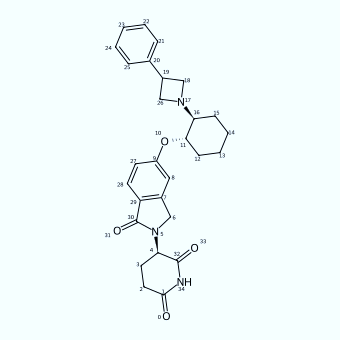 O=C1CC[C@@H](N2Cc3cc(O[C@H]4CCCC[C@@H]4N4CC(c5ccccc5)C4)ccc3C2=O)C(=O)N1